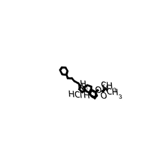 CN(C)C(=O)Oc1cccc2c1CC[C@@H]1[C@H]2CCN1CCCCC1CCCCC1.Cl